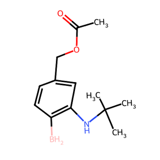 Bc1ccc(COC(C)=O)cc1NC(C)(C)C